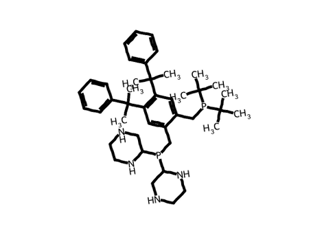 CC(C)(c1ccccc1)c1cc(CP(C2CNCCN2)C2CNCCN2)c(CP(C(C)(C)C)C(C)(C)C)cc1C(C)(C)c1ccccc1